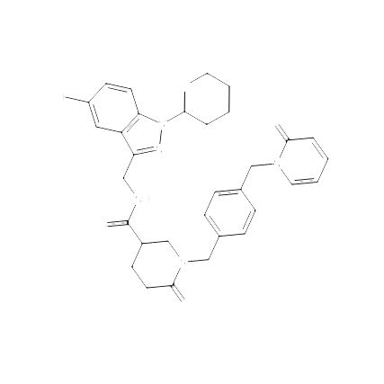 O=C(NCc1nn(C2CCCCO2)c2ccc(Cl)cc12)C1CCC(=O)N(Cc2ccc(Cn3ccccc3=O)cc2)C1